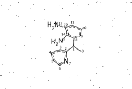 CC(c1ccccn1)c1cccc(N)c1N